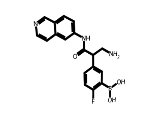 NCC(C(=O)Nc1ccc2cnccc2c1)c1ccc(F)c(B(O)O)c1